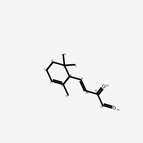 CC1=CCCC(C)(C)C1C=CC(=O)C=O